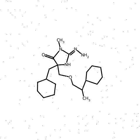 CC(COCC1(CC2CCCCC2)NC(=NN)N(C)C1=O)C1CCCCC1